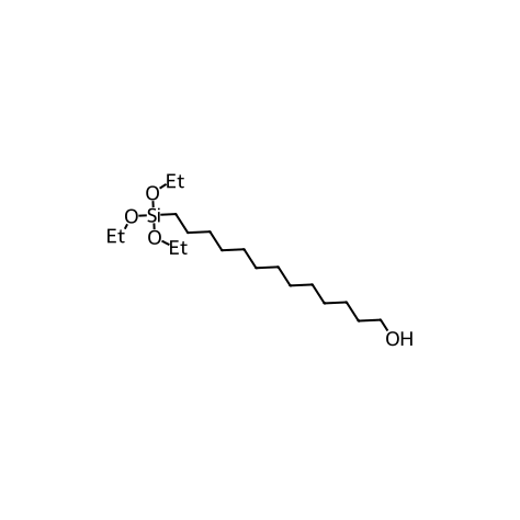 CCO[Si](CCCCCCCCCCCCCO)(OCC)OCC